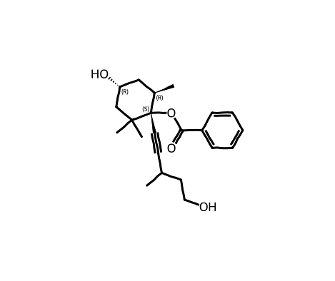 CC(C#C[C@]1(OC(=O)c2ccccc2)[C@H](C)C[C@@H](O)CC1(C)C)CCO